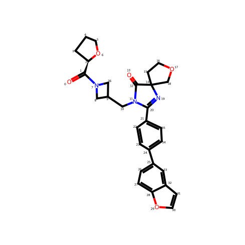 O=C([C@H]1CCCO1)N1CC(CN2C(=O)C3(CCOC3)N=C2c2ccc(-c3ccc4occc4c3)cc2)C1